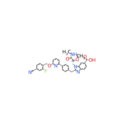 CNC(=O)[C@@H](Cn1c(Cc2ccc(-c3cccc(OCc4ccc(C#N)cc4F)n3)cc2)nc2ccc(C(=O)O)cc21)OC